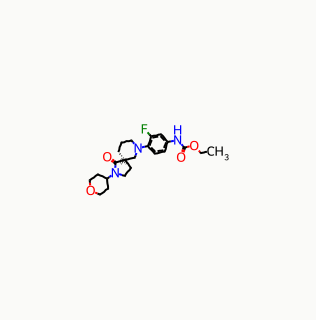 CCOC(=O)Nc1ccc(N2CCC[C@@]3(CCN(C4CCOCC4)C3=O)C2)c(F)c1